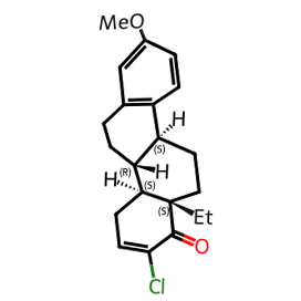 CC[C@]12CC[C@@H]3c4ccc(OC)cc4CC[C@H]3[C@@H]1CC=C(Cl)C2=O